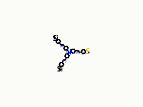 CSc1ccc(/C=C/c2ccc(N(c3ccc(/C=C/c4ccc([Si](C)(C)C)cc4)cc3)c3ccc(/C=C/c4ccc([Si](C)(C)C)cc4)cc3)cc2)cc1